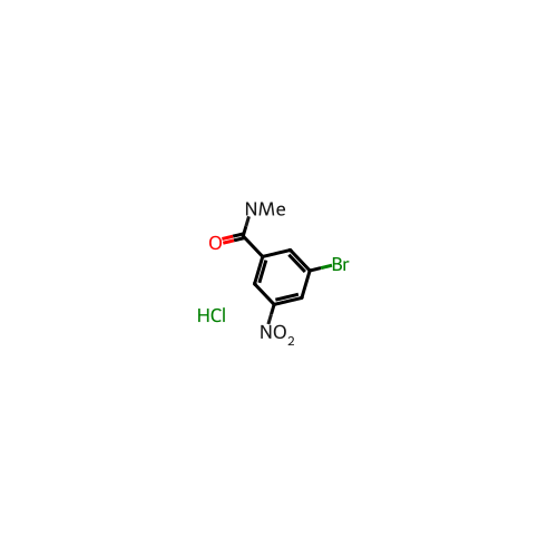 CNC(=O)c1cc(Br)cc([N+](=O)[O-])c1.Cl